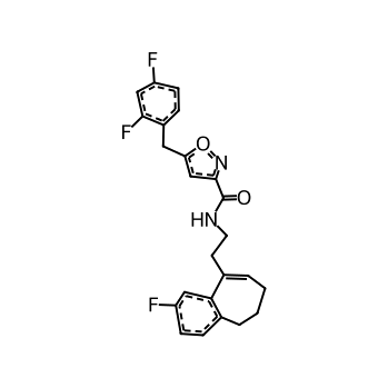 O=C(NCCC1=CCCCc2ccc(F)cc21)c1cc(Cc2ccc(F)cc2F)on1